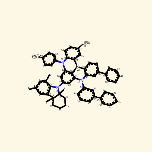 Cc1cc(C)c2c(c1)C1(C)CCCCC1(C)N2c1cc2c3c(c1)N(c1cccc(-c4ccccc4)c1)c1cc(-c4ccccc4)ccc1B3c1cc(C(C)(C)C)ccc1N2c1ccc(C(C)(C)C)cc1